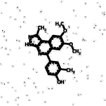 COc1cc2c(-c3ccc(O)c(C)c3)nc3[nH]nc(C)c3c2cc1OC